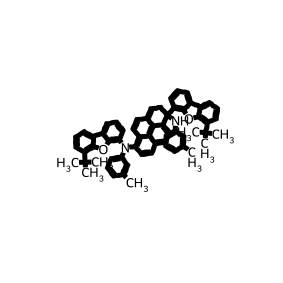 Cc1cccc(NC2(c3cccc4c3oc3c(C(C)(C)C)cccc34)CC=c3ccc4c(N(c5cccc(C)c5)c5cccc6c5oc5c(C(C)(C)C)cccc56)ccc5ccc2c3c54)c1